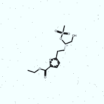 CCOC(=O)c1ccc(CC[C@@H](CO)OS(C)(=O)=O)s1